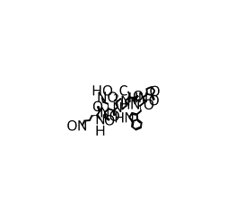 O=NCCC[C@@H]1NC(=O)N([C@@H](CCN=O)C(=O)N2CCN([C@@H](CC(=O)O)C(=O)N[C@H](Cc3c[nH]c4ccccc34)C(=O)NC3CCOC3=O)CC2)C1=O